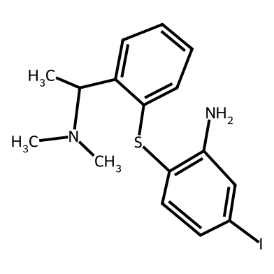 CC(c1ccccc1Sc1ccc(I)cc1N)N(C)C